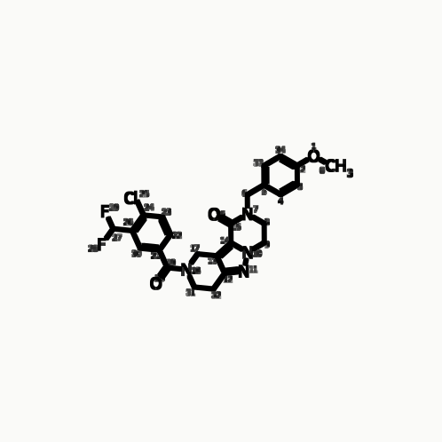 COc1ccc(CN2CCn3nc4c(c3C2=O)CN(C(=O)c2ccc(Cl)c(C(F)F)c2)CC4)cc1